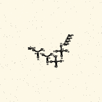 [Ba+2].[Ba+2].[Ba+2].[Ba+2].[Ba+2].[O]=[Sb]([O-])([O-])[O-].[O]=[Sb]([O-])([O-])[O-].[O]=[Ti]([O-])[O-].[O]=[Ti]([O-])[O-]